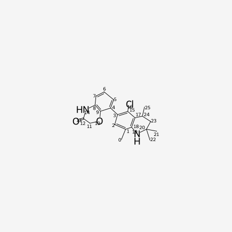 Cc1cc(-c2cccc3c2OCC(=O)N3)c(Cl)c2c1NC(C)(C)CC2C